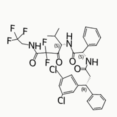 CC(C)[C@H](NC(=O)[C@@H](NC(=O)C[C@H](c1ccccc1)c1cc(Cl)cc(Cl)c1)c1ccccc1)C(=O)C(F)(F)C(=O)NCC(F)(F)F